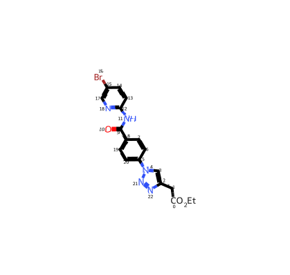 CCOC(=O)Cc1cn(-c2ccc(C(=O)Nc3ccc(Br)cn3)cc2)nn1